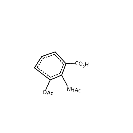 CC(=O)Nc1c(OC(C)=O)cccc1C(=O)O